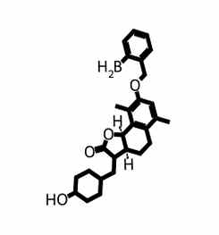 Bc1ccccc1COc1cc(C)c2c(c1C)[C@@H]1OC(=O)C(CC3CCC(O)CC3)[C@@H]1CC2